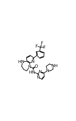 O=C(Nc1nccc(N2CCNCC2)n1)N1CCCNc2ccc(-c3cccc(C(F)(F)F)c3)nc21